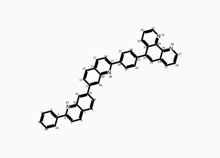 c1ccc(-c2ccc3ccc(-c4ccc5ccc(-c6ccc(-c7cc8cccnc8c8ncccc78)cc6)nc5c4)cc3n2)cc1